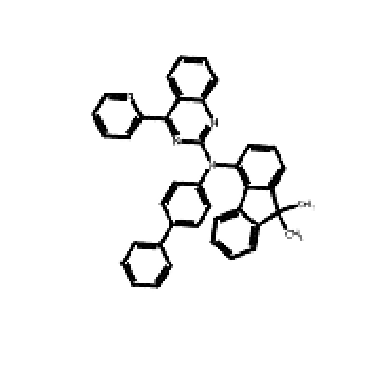 CC1(C)c2ccccc2-c2c(N(c3ccc(-c4ccccc4)cc3)c3nc(-c4ccccn4)c4ccccc4n3)cccc21